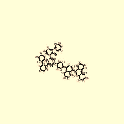 c1ccc(-c2ccccc2-c2nc(-c3ccc(-c4ccc(-c5cc6ccccc6c6ccccc56)c5ccccc45)cc3)nc(-c3cccc4c3sc3ccccc34)n2)cc1